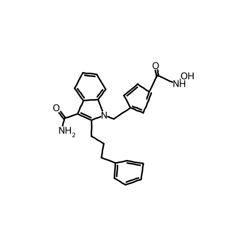 NC(=O)c1c(CCCc2ccccc2)n(Cc2ccc(C(=O)NO)cc2)c2ccccc12